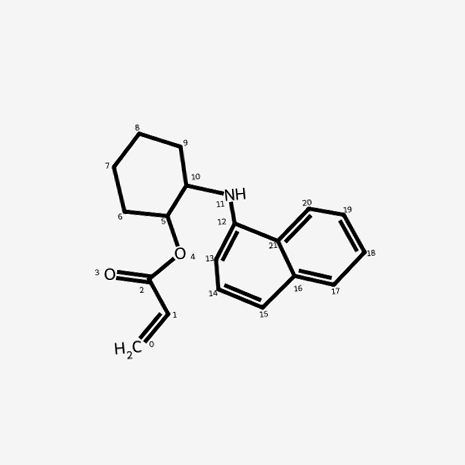 C=CC(=O)OC1CCCCC1Nc1cccc2ccccc12